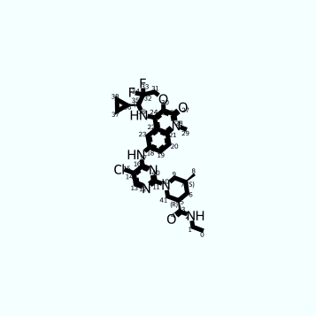 CCNC(=O)[C@@H]1C[C@H](C)CN(c2ncc(Cl)c(Nc3ccc4c(c3)c3c(c(=O)n4C)OCC(F)(F)[C@H](C4CC4)N3)n2)C1